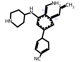 C=C/C=c1/cc(C2C=CC(C#N)=CC2)cc(NC2CCNCC2)/c1=C/N